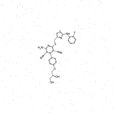 N#Cc1c(N)nc(SCc2csc(Nc3ccccc3F)n2)c(C#N)c1-c1ccc(OC[C@@H](O)CO)cc1